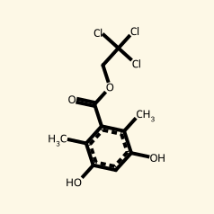 Cc1c(O)cc(O)c(C)c1C(=O)OCC(Cl)(Cl)Cl